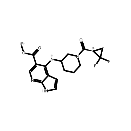 CC(C)OC(=O)c1cnc2[nH]ccc2c1NC1CCCN(C(=O)[C@H]2CC2(F)F)C1